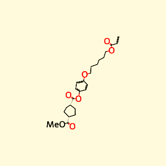 C=CC(=O)OCCCCCCOc1ccc(OC(=O)[C@H]2CC[C@@H](C(=O)OC)CC2)cc1